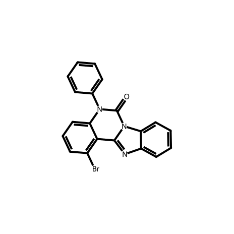 O=c1n(-c2ccccc2)c2cccc(Br)c2c2nc3ccccc3n12